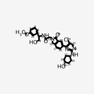 COc1cccc(C(CO)NC(=O)CN2Cc3ccc(-c4nc(N[C@H]5CC[C@H](O)CC5)ncc4Cl)cc3C2=O)c1